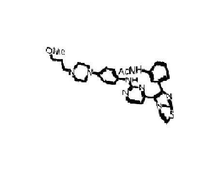 COCCCN1CCN(c2ccc(Nc3nccc(-c4c(-c5cccc(NC(C)=O)c5)nc5sccn45)n3)cc2)CC1